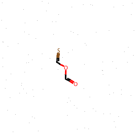 O=COC=S